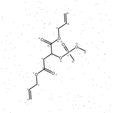 C=CCOC(=O)CC(OP(C)(=O)OC)C(=O)OCC=C